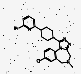 CC(C)c1cccc(C2CCC(c3nnc4n3-c3ccc(Cl)cc3CN(C)C4)CC2)n1